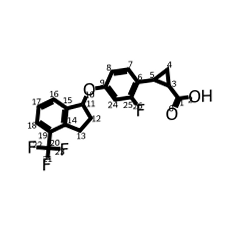 O=C(O)C1CC1c1ccc(OC2CCc3c2cccc3C(F)(F)F)cc1F